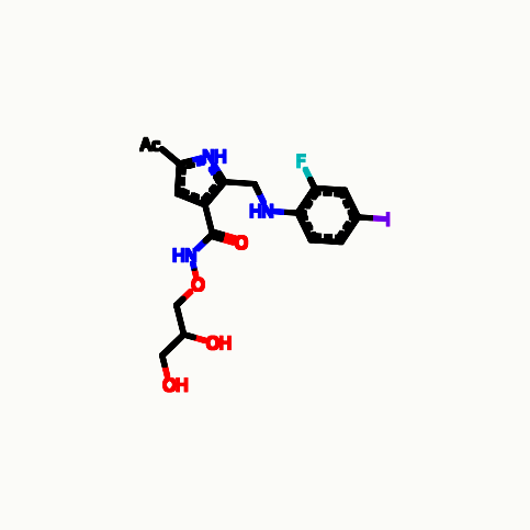 CC(=O)c1cc(C(=O)NOCC(O)CO)c(CNc2ccc(I)cc2F)[nH]1